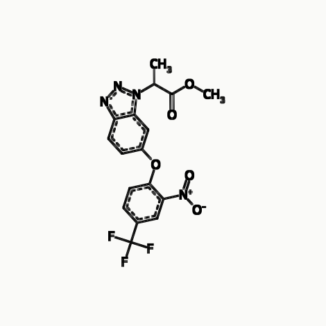 COC(=O)C(C)n1nnc2ccc(Oc3ccc(C(F)(F)F)cc3[N+](=O)[O-])cc21